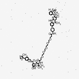 COc1cc(N2CCC(NC(=O)CCOCCOCCOCCOCCOCCC(=O)N[C@H](C(=O)N3C[C@H](O)C[C@H]3C(=O)NCc3ccc(-c4scnc4C)cc3)C(C)(C)C)CC2)ccc1Nc1ncc(Cl)c(Nc2ccccc2P(C)(C)=O)n1